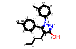 CCCCc1c(O)nn(-c2cccc(C)c2)c1-c1ccc(C)cc1